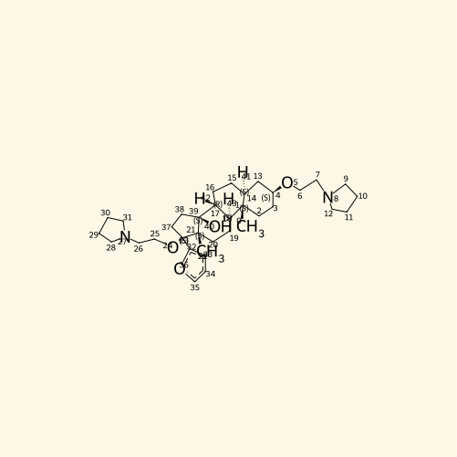 C[C@]12CC[C@H](OCCN3CCCC3)C[C@@H]1CC[C@@H]1[C@@H]2CC[C@]2(C)[C@](OCCN3CCCC3)(c3ccco3)CC[C@]12O